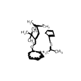 CC=C(C)C=C(COc1ccccc1)C(C)(C)C.C[C](C)=[Ti][C]1=CC=CC1